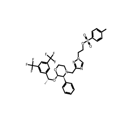 Cc1ccc(S(=O)(=O)OCCn2cnc(CN3CCO[C@H](O[C@H](C)c4cc(C(F)(F)F)cc(C(F)(F)F)c4)[C@@H]3c3ccccc3)n2)cc1